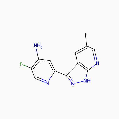 Cc1cnc2[nH]nc(-c3cc(N)c(F)cn3)c2c1